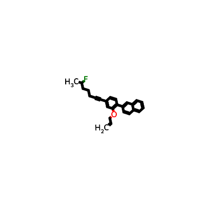 C=CCOc1cc(C#CCCCC(C)F)ccc1-c1ccc2ccccc2c1